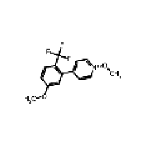 COc1ccc(C(F)(F)F)c(-c2cc[n+](OC)cc2)c1